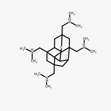 C[SiH](C)CC12CC3C4CC5(C[SiH](C)C)CC(C(C1)C3(C[SiH](C)C)C5)C4(C[SiH](C)C)C2